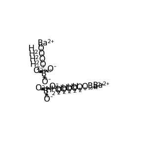 O.O.O.O.O.O.O.O.O.O.[Ba+2].[Ba+2].[Ba+2].[O-]B([O-])[O-].[O-]B([O-])[O-]